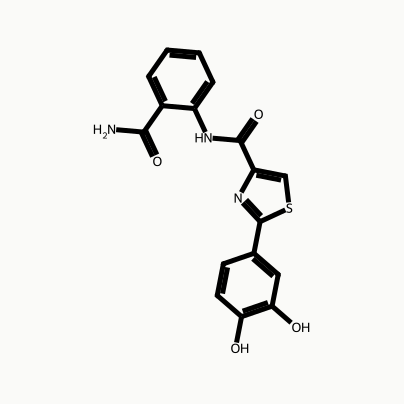 NC(=O)c1ccccc1NC(=O)c1csc(-c2ccc(O)c(O)c2)n1